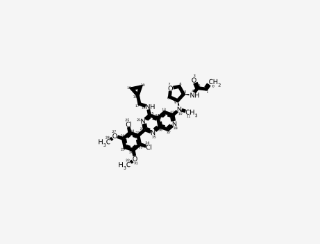 C=CC(=O)N[C@H]1COC[C@H]1N(C)c1cc2c(NCC3CC3)nc(-c3c(Cl)c(OC)cc(OC)c3Cl)nc2cn1